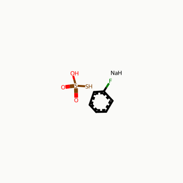 Fc1ccccc1.O=S(=O)(O)S.[NaH]